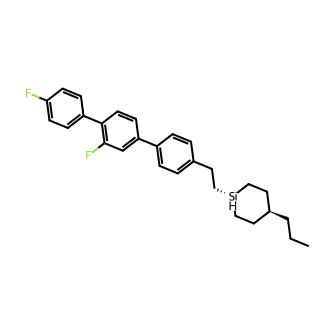 CCC[C@H]1CC[Si@H](CCc2ccc(-c3ccc(-c4ccc(F)cc4)c(F)c3)cc2)CC1